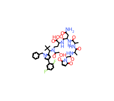 CC(NC(=O)CN1C(=O)C=CC1=O)C(=O)NC(C)C(=O)NC(CC(N)=O)C(=O)NC(CCN(C(=O)CO)C(c1cc(-c2cc(F)ccc2F)cn1Cc1ccccc1)C(C)(C)C)C(=O)O